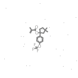 C=C(C)C(=O)OC1(c2ccc(OC(F)(F)F)cc2)CCC(C)(C)C1